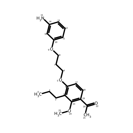 CCCc1c(OCCCOc2cccc(N)c2)ccc(C(C)=O)c1OC